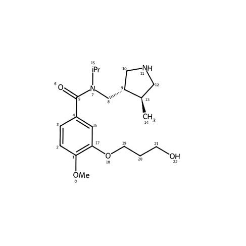 COc1ccc(C(=O)N(C[C@@H]2CNC[C@H]2C)C(C)C)cc1OCCCO